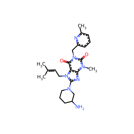 CC(C)=CCn1c(N2CCCC(N)C2)nc2c1c(=O)n(Cc1cccc(C)n1)c(=O)n2C